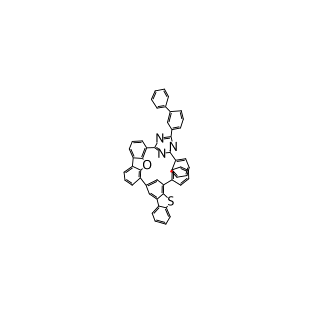 c1ccc(-c2cccc(-c3nc(-c4ccccc4)nc(-c4cccc5c4oc4c(-c6cc(-c7ccccc7)c7sc8ccccc8c7c6)cccc45)n3)c2)cc1